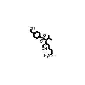 CC(C)N([C@H](CO)CCC[C@H](C)N)S(=O)(=O)c1ccc(CO)cc1